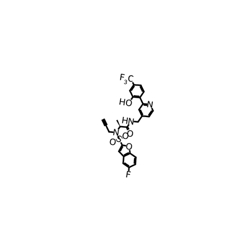 C#CCN([C@@H](C)C(=O)NCc1ccnc(-c2ccc(C(F)(F)F)cc2O)c1)S(=O)(=O)c1cc2cc(F)ccc2o1